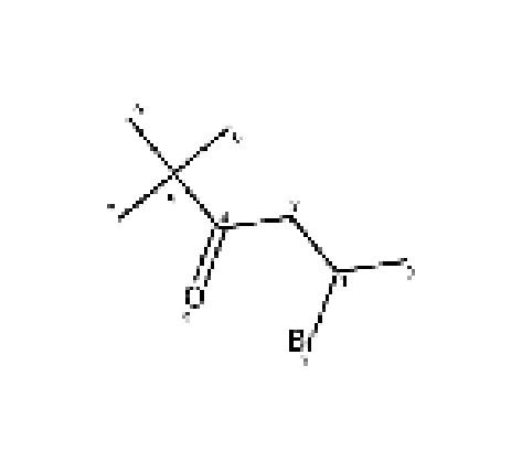 CC(Br)CC(=O)C(C)(C)C